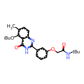 Cc1ccc2nc(-c3cccc(OCC(=O)NC(C)(C)C)c3)[nH]c(=O)c2c1OCC(C)C